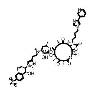 CC[C@H]1OC(=O)[C@H](C)C(=O)[C@H](C)[C@@H](O[C@@H]2O[C@H](C)C[C@H](N(C)CCc3cn([C@H](CF)[C@H](O)c4ccc(S(C)(=O)=O)cc4)nn3)[C@H]2O)[C@](C)(OC)C[C@@H](C)C(=O)[C@H](C)[C@H]2N(CCCCn3cnc(-c4cccnc4)c3)C(=O)O[C@]12C